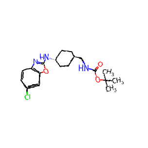 CC(C)(C)OC(=O)NC[C@H]1CC[C@H](Nc2nc3ccc(Cl)cc3o2)CC1